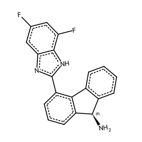 N[C@@H]1c2ccccc2-c2c(-c3nc4cc(F)cc(F)c4[nH]3)cccc21